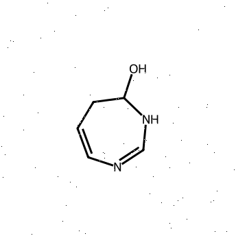 OC1CC=CN=CN1